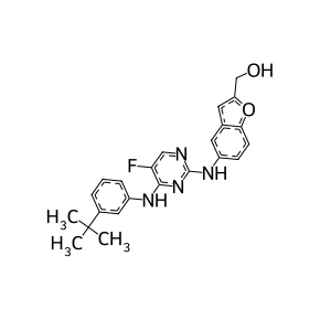 CC(C)(C)c1cccc(Nc2nc(Nc3ccc4oc(CO)cc4c3)ncc2F)c1